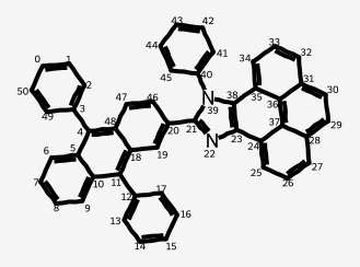 c1ccc(-c2c3ccccc3c(-c3ccccc3)c3cc(-c4nc5c6cccc7ccc8cccc(c8c76)c5n4-c4ccccc4)ccc23)cc1